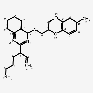 C=CC(CCCN)C1=NC(NCC2COC3=C(C=CC(C)C3)O2)C2CCCCC2=N1